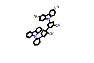 N#CC1=CC(C2=C(N3C4=C(CCC=C4)C4C=CC=CC43)CCC=C2)CC=C1c1cc(C#N)cc(-n2c3ccc(C#N)cc3c3cc(C#N)ccc32)c1